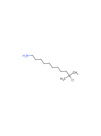 C[Si](C)(Cl)CCCCCCCCCN